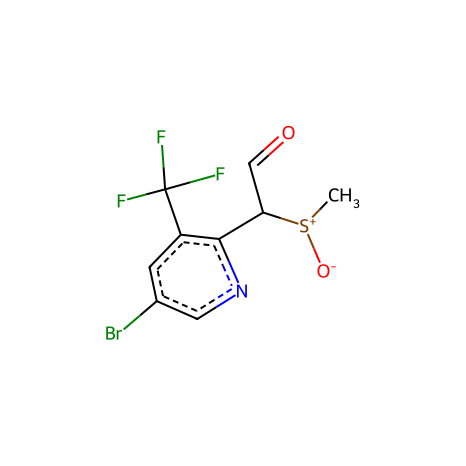 C[S+]([O-])C(C=O)c1ncc(Br)cc1C(F)(F)F